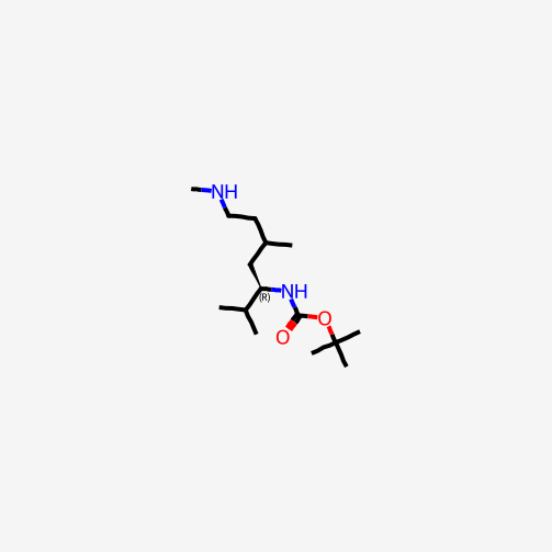 CNCCC(C)C[C@@H](NC(=O)OC(C)(C)C)C(C)C